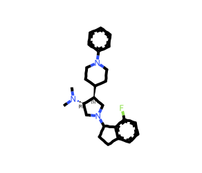 CN(C)[C@H]1CN(C2CCc3cccc(F)c32)C[C@@H]1C1CCN(c2ccccc2)CC1